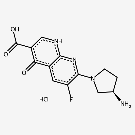 Cl.N[C@@H]1CCN(c2nc3[nH]cc(C(=O)O)c(=O)c3cc2F)C1